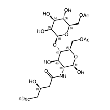 CCCCCCCCCCC[C@@H](O)CC(=O)N[C@@H]1[C@@H](O)[C@H](O[C@@H]2O[C@H](COC(C)=O)[C@@H](O)[C@H](O)[C@@H]2O)[C@@H](COC(C)=O)O[C@H]1O